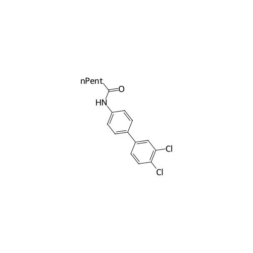 CCCCCC(=O)Nc1ccc(-c2ccc(Cl)c(Cl)c2)cc1